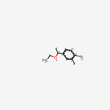 Cc1cc(C(C)OCC(F)(F)F)ccc1Br